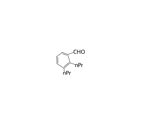 CCCc1cccc(C=O)c1CCC